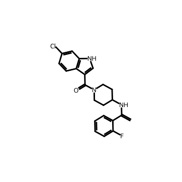 C=C(NC1CCN(C(=O)c2c[nH]c3cc(Cl)ccc23)CC1)c1ccccc1F